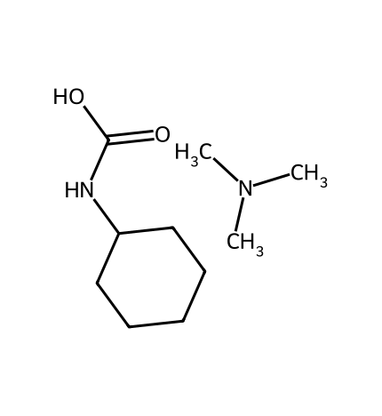 CN(C)C.O=C(O)NC1CCCCC1